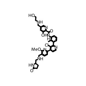 COc1nc(-c2ccnc(-c3cccc(NC(=O)c4ncc(CNCCO)cc4O)c3C)c2Cl)ccc1CNCC1CCC(=O)N1